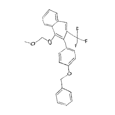 COCOc1c(-c2ccc(OCc3ccccc3)cc2)c(C(F)(F)F)cc2ccccc12